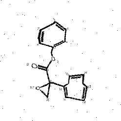 O=C(Oc1ccccc1)C1(c2ccccc2)CO1